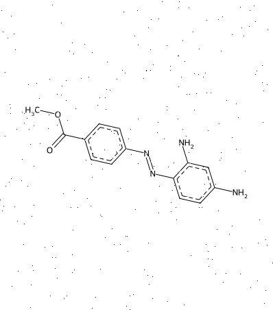 COC(=O)c1ccc(N=Nc2ccc(N)cc2N)cc1